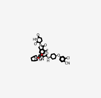 N#Cc1ccc(O[C@H]2CC[C@H](NC(=O)c3ccc(N4C5CCC4CN(Cc4cc(F)c6c(c4)CN(C4CCC(=O)NC4=O)C6=O)C5)nn3)CC2)cc1Cl